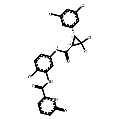 O=C(Nc1cc(NC(=O)[C@H]2[C@H](c3cc(Cl)cc(Cl)c3)C2(Cl)Cl)ccc1Cl)c1cccc(=O)[nH]1